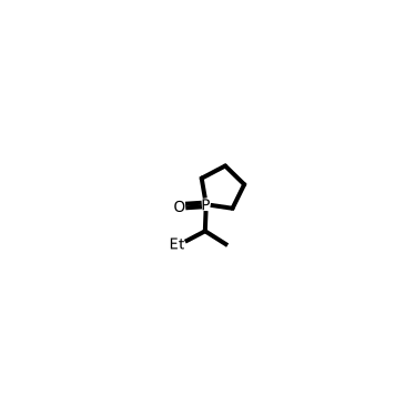 CCC(C)P1(=O)CCCC1